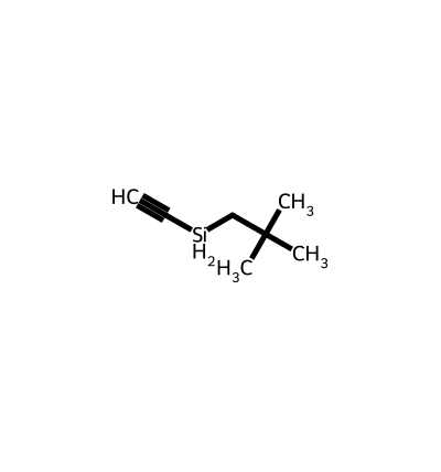 C#C[SiH2]CC(C)(C)C